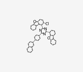 Clc1ccc2oc3ccccc3c2c1-c1nc(-c2ccc(-c3ccc4ccccc4c3)cc2)nc(-c2cccc3c2oc2ccccc23)n1